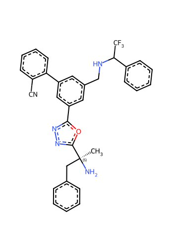 C[C@](N)(Cc1ccccc1)c1nnc(-c2cc(CNC(c3ccccc3)C(F)(F)F)cc(-c3ccccc3C#N)c2)o1